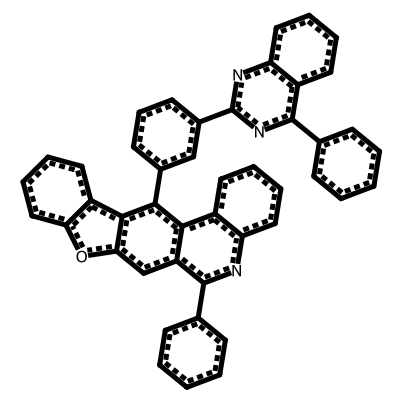 c1ccc(-c2nc(-c3cccc(-c4c5c(cc6c(-c7ccccc7)nc7ccccc7c46)oc4ccccc45)c3)nc3ccccc23)cc1